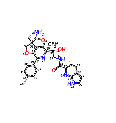 C[C@]1(C(N)=O)COc2c1cc([C@@](O)(CNC(=O)c1ccc3cc[nH]c3n1)C(F)(F)F)nc2-c1ccc(F)cc1